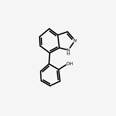 Oc1c[c]ccc1-c1cccc2cn[nH]c12